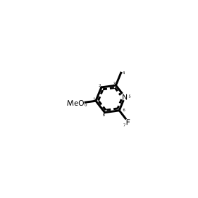 COc1cc(C)nc(F)c1